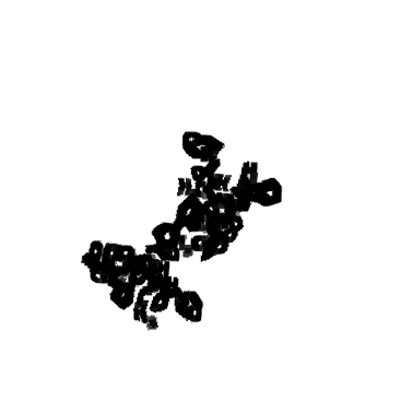 C[C@H](NC(=O)CN1CCOCC1)C(=O)N[C@@H](Cc1coc2cc(C3CCCC3C[C@H](NC(=O)[C@H](Cc3c[nH]c4ccccc34)NC(=O)[C@H](C)NC(=O)CN3CCOCC3)C(=O)[C@@]3(C)CO3)ccc12)C(=O)N[C@@H](CC1CCCC1)C(=O)[C@@]1(C)CO1